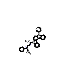 C=C/C(=C\C=C(/C)n1c2ccccc2c2c3c4ccccc4n(-c4cccnc4)c3ccc21)c1ccccc1